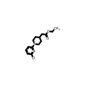 CCOC(=O)CC1CCN(c2cccc(Cl)n2)CC1